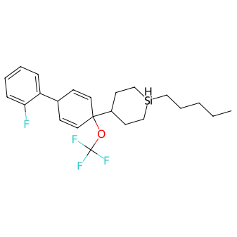 CCCCC[SiH]1CCC(C2(OC(F)(F)F)C=CC(c3ccccc3F)C=C2)CC1